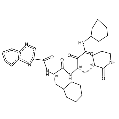 O=C(NC1CCCCC1)C(=O)[C@H](C[C@@H]1CCCNC1=O)NC(=O)[C@H](CC1CCCCC1)NC(=O)c1cnc2ccccc2n1